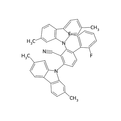 Cc1ccc2c3ccc(C)cc3n(-c3ccc(-c4c(F)cccc4F)c(-n4c5cc(C)ccc5c5ccc(C)cc54)c3C#N)c2c1